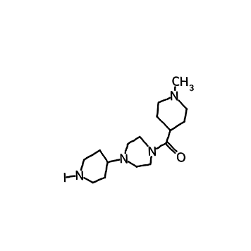 CN1CCC(C(=O)N2CCN(C3CCN(I)CC3)CC2)CC1